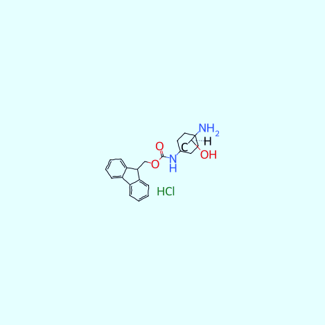 Cl.NC12CCC(NC(=O)OCC3c4ccccc4-c4ccccc43)(CC1)C[C@@H]2O